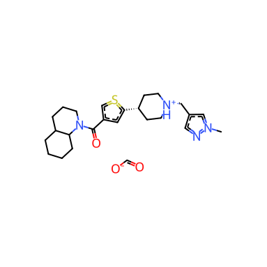 Cn1cc(C[N@H+]2CC[C@@H](c3cc(C(=O)N4CCCC5CCCCC54)cs3)CC2)cn1.O=C[O-]